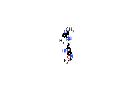 Cc1ccc2c(-c3nnc(SCCCC4CCc5cc6nc(CC(F)(F)F)oc6cc5NC4)n3C)cccc2n1